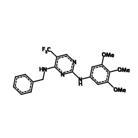 COc1cc(Nc2ncc(C(F)(F)F)c(NCc3ccccc3)n2)cc(OC)c1OC